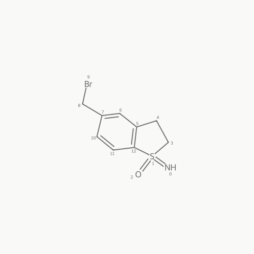 N=S1(=O)CCc2cc(CBr)ccc21